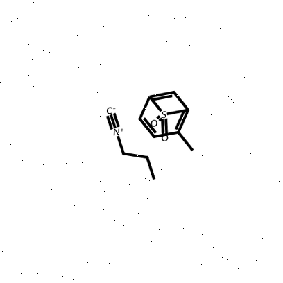 Cc1ccc2cc1S2(=O)=O.[C-]#[N+]CCC